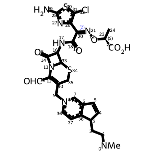 CNCCC1C=Cc2c[n+](CC3=C(C=O)N4C(=O)C(NC(=O)/C(=N\O[C@@H](C)C(=O)O)c5nc(N)sc5Cl)C4SC3)ccc21